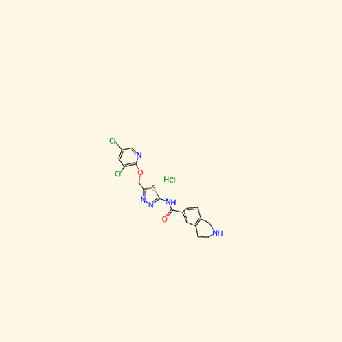 Cl.O=C(Nc1nnc(COc2ncc(Cl)cc2Cl)s1)c1ccc2c(c1)CCNC2